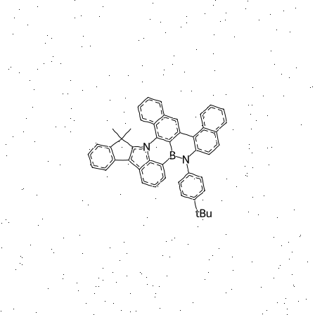 CC(C)(C)c1ccc(N2B3c4c(cc5ccccc5c4-n4c5c(c6cccc3c64)-c3ccccc3C5(C)C)-c3c2ccc2ccccc32)cc1